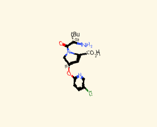 CC(C)(C)[C@H](N)C(=O)N1C[C@H](Oc2ccc(Cl)cn2)CC1C(=O)O